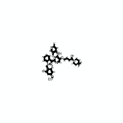 CCOc1cc(F)c(Cn2nc(-c3ncc(OCCCC(=O)N4CCC(F)(F)CC4)c(Nc4cc(C)ncc4C)n3)c3ccccc32)c(F)c1